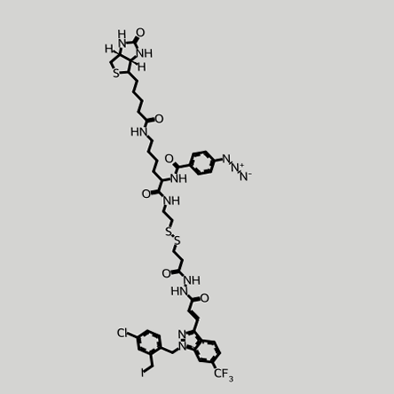 [N-]=[N+]=Nc1ccc(C(=O)NC(CCCCNC(=O)CCCCC2SC[C@@H]3NC(=O)N[C@H]23)C(=O)NCCSSCCC(=O)NNC(=O)/C=C/c2nn(Cc3ccc(Cl)cc3CI)c3cc(C(F)(F)F)ccc23)cc1